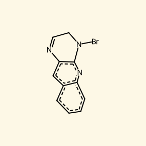 BrN1CC=Nc2cc3ccccc3nc21